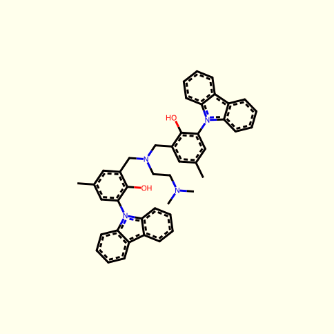 Cc1cc(CN(CCN(C)C)Cc2cc(C)cc(-n3c4ccccc4c4ccccc43)c2O)c(O)c(-n2c3ccccc3c3ccccc32)c1